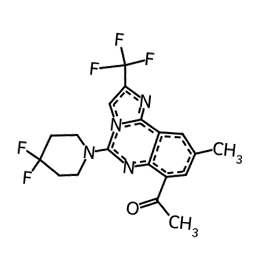 CC(=O)c1cc(C)cc2c1nc(N1CCC(F)(F)CC1)n1cc(C(F)(F)F)nc21